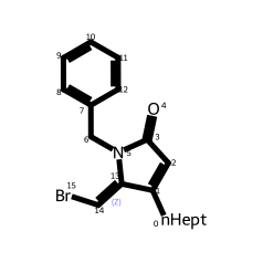 CCCCCCCC1=CC(=O)N(Cc2ccccc2)/C1=C\Br